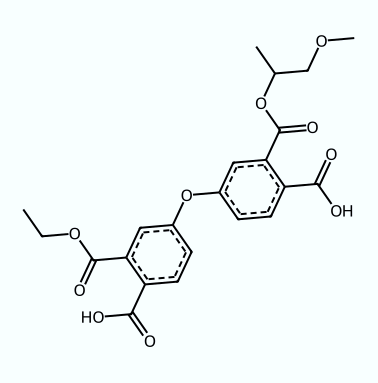 CCOC(=O)c1cc(Oc2ccc(C(=O)O)c(C(=O)OC(C)COC)c2)ccc1C(=O)O